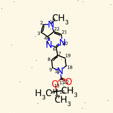 Cn1ccc2nc(C3=CCN(C(=O)OC(C)(C)C)CC3)ncc21